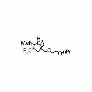 CCCOCCOCC(=O)CC(C(C)NC)C(F)(F)F